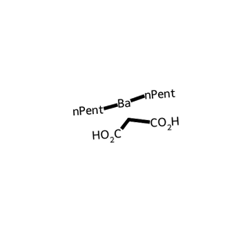 CCCC[CH2][Ba][CH2]CCCC.O=C(O)CC(=O)O